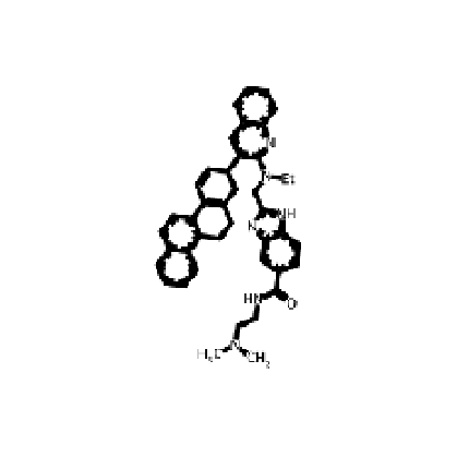 CCN(Cc1nc2cc(C(=O)NCCN(C)C)ccc2[nH]1)c1nc2ccccc2cc1C1C=CC2=C(CCc3c2ccc2ccccc32)C1